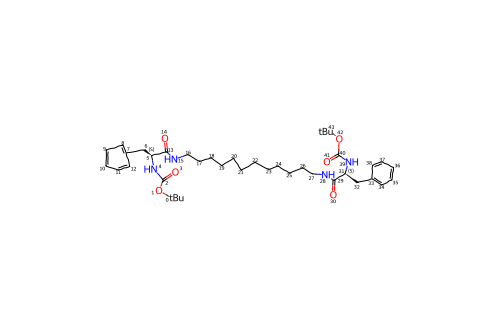 CC(C)(C)OC(=O)N[C@@H](Cc1ccccc1)C(=O)NCCCCCCCCCCCCNC(=O)[C@H](Cc1ccccc1)NC(=O)OC(C)(C)C